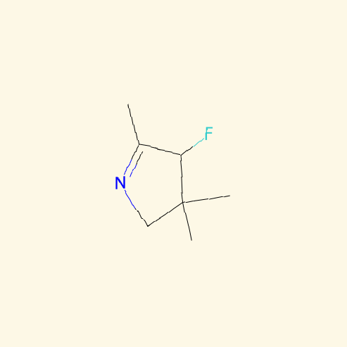 CC1=NCC(C)(C)C1F